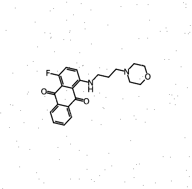 O=C1c2ccccc2C(=O)c2c(NCCCN3CCOCC3)ccc(F)c21